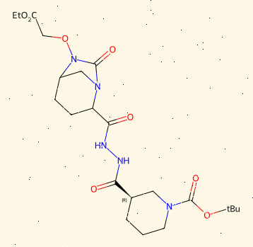 CCOC(=O)CON1C(=O)N2CC1CCC2C(=O)NNC(=O)[C@@H]1CCCN(C(=O)OC(C)(C)C)C1